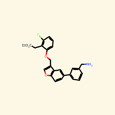 CCOC(=O)Cc1c(F)cccc1OCc1coc2ccc(-c3cccc(CN)c3)cc12